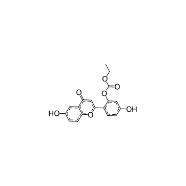 CCOC(=O)Oc1cc(O)ccc1-c1cc(=O)c2cc(O)ccc2o1